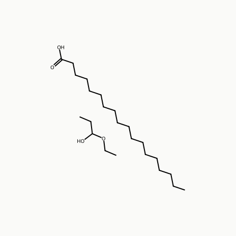 CCCCCCCCCCCCCCCCCC(=O)O.CCOC(O)CC